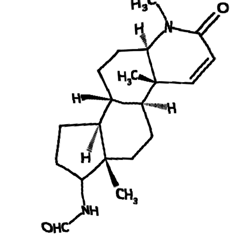 CN1C(=O)C=C[C@]2(C)[C@H]3CC[C@]4(C)C(NC=O)CC[C@H]4[C@@H]3CC[C@@H]12